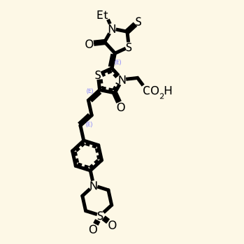 CCN1C(=O)/C(=c2\s/c(=C/C=C/c3ccc(N4CCS(=O)(=O)CC4)cc3)c(=O)n2CC(=O)O)SC1=S